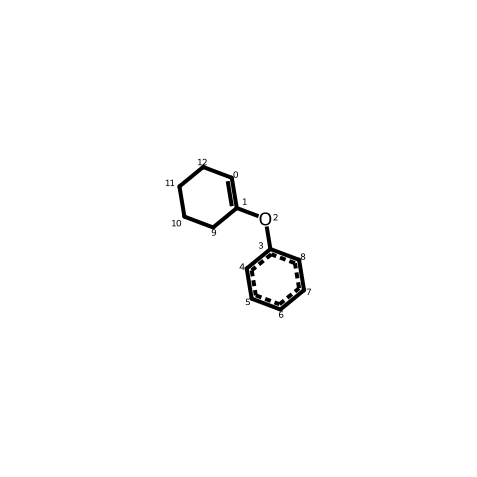 C1=C(Oc2ccccc2)CCCC1